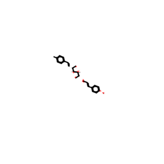 CCOc1ccc(/C=C/C(=O)O[C@@H]2CO[C@H]3[C@@H]2OC[C@@H]3C=Cc2ccc(C)cc2)cc1